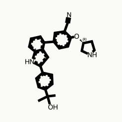 CC(C)(O)c1ccc(-c2cc3c(-c4ccc(O[C@@H]5CCNC5)c(C#N)c4)cccc3[nH]2)cc1